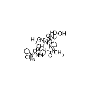 COc1cc(CC(=O)N(C)c2ccc(C(CC(=O)O)NS(=O)(=O)C3CN(C)C=N3)cn2)ccc1NC(=O)Nc1ccccc1C